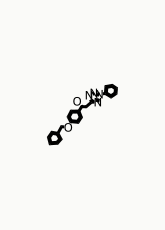 O=C(Cc1nnn(-c2ccccc2)n1)c1ccc(OCc2ccccc2)cc1